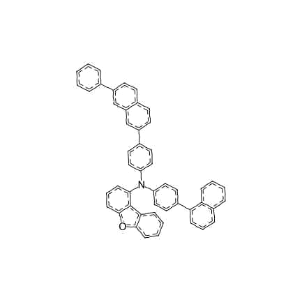 c1ccc(-c2ccc3ccc(-c4ccc(N(c5ccc(-c6cccc7ccccc67)cc5)c5cccc6oc7ccccc7c56)cc4)cc3c2)cc1